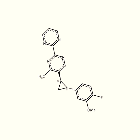 COc1cc([C@@H]2C[C@H]2c2cnc(-c3ncccn3)nc2C)ccc1F